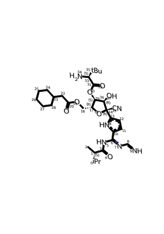 CC(C)[C@H](C)C(=O)N/C(=N/C=N)c1ccc([C@]2(C#N)O[C@H](COC(=O)CC3CCCCC3)[C@@H](OC(=O)[C@@H](N)C(C)(C)C)[C@H]2O)[nH]1